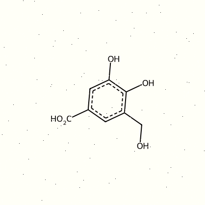 O=C(O)c1cc(O)c(O)c(CO)c1